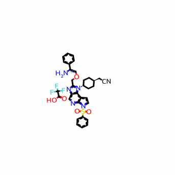 N#CC[C@H]1CC[C@H](n2c(CO/C=C(\N)c3ccccc3)nc3cnc4c(ccn4S(=O)(=O)c4ccccc4)c32)CC1.O=C(O)C(F)(F)F